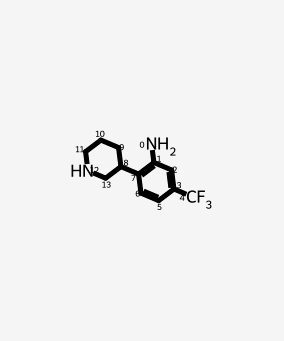 Nc1cc(C(F)(F)F)ccc1C1CCCNC1